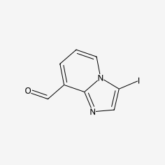 O=Cc1cccn2c(I)cnc12